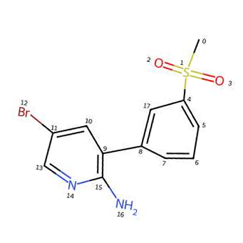 CS(=O)(=O)c1cccc(-c2cc(Br)cnc2N)c1